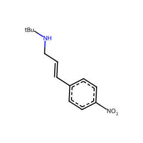 CC(C)(C)NC/C=C/c1ccc([N+](=O)[O-])cc1